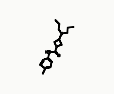 CCCN(CCC)C1CN(C(=O)Nc2ccc(C)cc2)C1